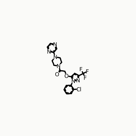 O=C(COc1cc(C(F)(F)F)nn1-c1ccccc1Cl)N1CCN(c2cnccn2)CC1